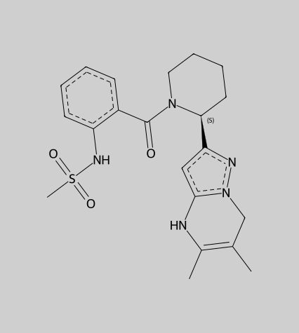 CC1=C(C)Nc2cc([C@@H]3CCCCN3C(=O)c3ccccc3NS(C)(=O)=O)nn2C1